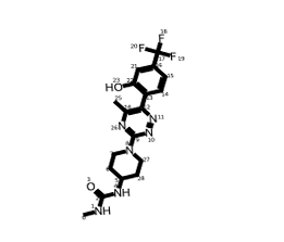 CNC(=O)NC1CCN(c2nnc(-c3ccc(C(F)(F)F)cc3O)c(C)n2)CC1